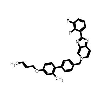 C/C=C/COc1ccc(-c2ccc(Cn3ccc4nc(-c5cccc(F)c5F)nc-4c3)cc2)c(C)c1